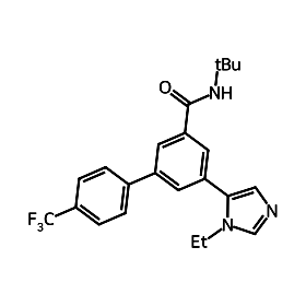 CCn1cncc1-c1cc(C(=O)NC(C)(C)C)cc(-c2ccc(C(F)(F)F)cc2)c1